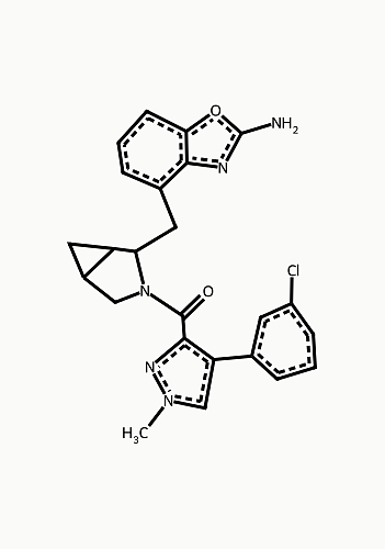 Cn1cc(-c2cccc(Cl)c2)c(C(=O)N2CC3CC3C2Cc2cccc3oc(N)nc23)n1